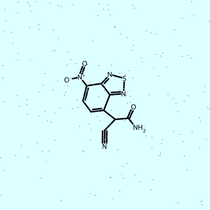 N#CC(C(N)=O)c1ccc([N+](=O)[O-])c2nsnc12